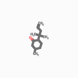 C=CCC(C)(C)C1CCC(C)CC1=O